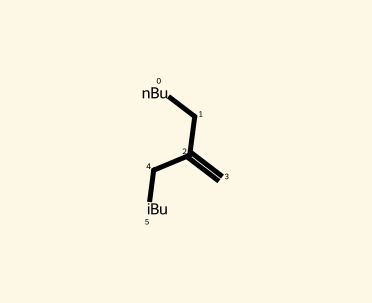 [CH2]CCCCC(=C)CC(C)CC